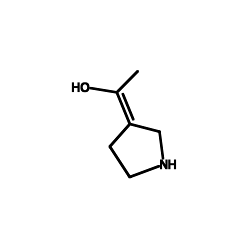 C/C(O)=C1/CCNC1